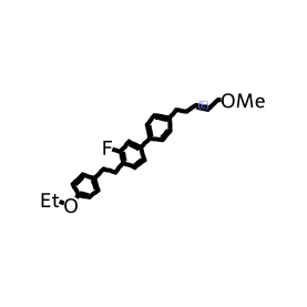 CCOc1ccc(CCc2ccc(-c3ccc(CC/C=C/COC)cc3)cc2F)cc1